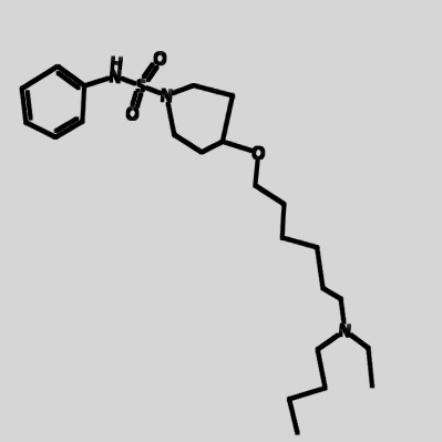 CCCCN(CC)CCCCCCOC1CCN(S(=O)(=O)Nc2ccccc2)CC1